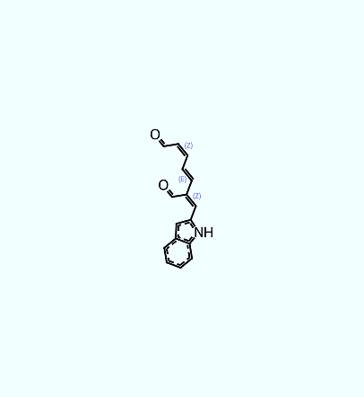 O=C\C=C/C=C/C(C=O)=C/c1cc2ccccc2[nH]1